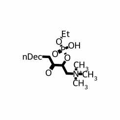 CCCCCCCCCCCC(=O)C(C[N+](C)(C)C)OP(=O)(O)OCC